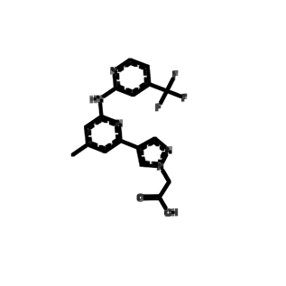 Cc1cc(Nc2cc(C(F)(F)F)ccn2)nc(-c2cnn(CC(=O)O)c2)c1